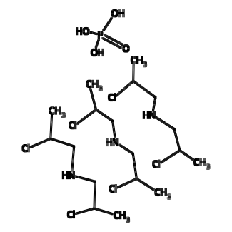 CC(Cl)CNCC(C)Cl.CC(Cl)CNCC(C)Cl.CC(Cl)CNCC(C)Cl.O=P(O)(O)O